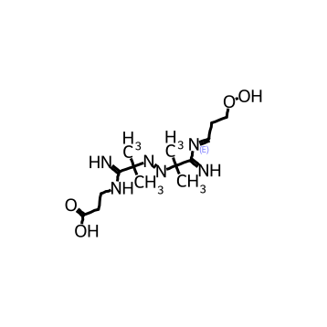 CC(C)(N=NC(C)(C)C(=N)NCCC(=O)O)C(=N)/N=C/CCOO